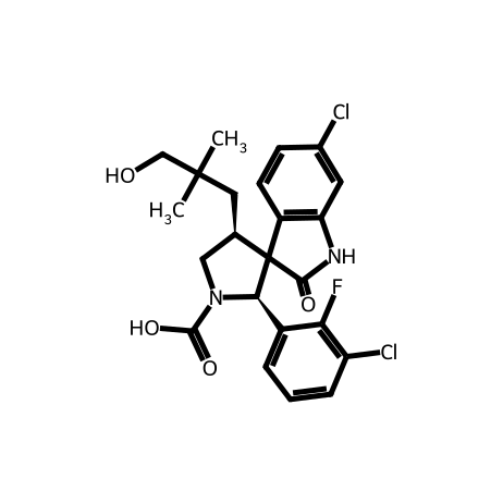 CC(C)(CO)C[C@@H]1CN(C(=O)O)[C@H](c2cccc(Cl)c2F)C12C(=O)Nc1cc(Cl)ccc12